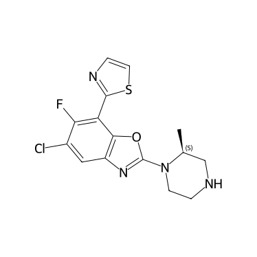 C[C@H]1CNCCN1c1nc2cc(Cl)c(F)c(-c3nccs3)c2o1